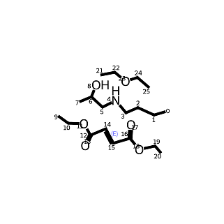 CCCCNCC(C)O.CCOC(=O)/C=C/C(=O)OCC.CCOCC